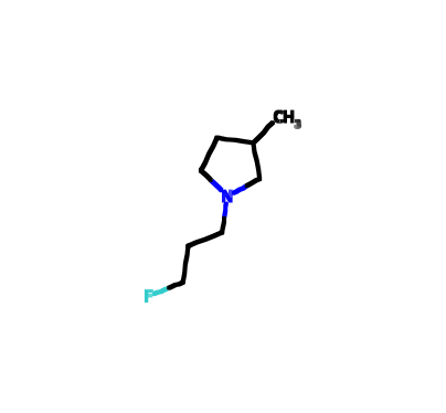 CC1CCN(CCCF)C1